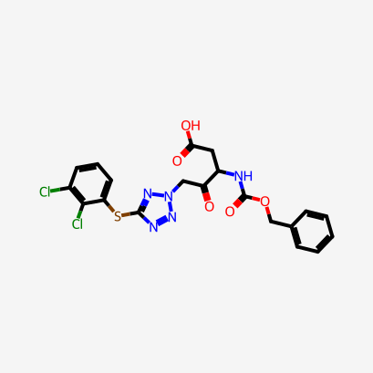 O=C(O)CC(NC(=O)OCc1ccccc1)C(=O)Cn1nnc(Sc2cccc(Cl)c2Cl)n1